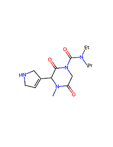 CCN(C(=O)N1CC(=O)N(C)C(C2=CCNC2)C1=O)C(C)C